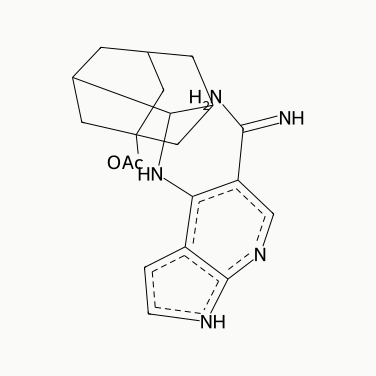 CC(=O)OC12CC3CC(C1)C(Nc1c(C(=N)N)cnc4[nH]ccc14)C(C3)C2